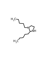 CCCCCC1NCCN1CCCCC